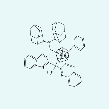 PC(c1ccc2ccccc2n1)(c1ccc2ccccc2n1)[C]12[CH]3[C]4(c5ccccc5)[CH]5[C]1(CP(C1C6CC7CC(C6)CC1C7)C1C6CC7CC(C6)CC1C7)[Fe]53421678[CH]2[CH]1[CH]6[CH]7[CH]28